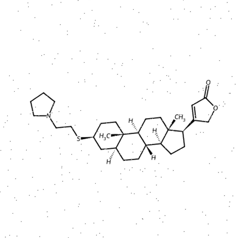 C[C@]12CC[C@H](SCCN3CCCC3)C[C@@H]1CC[C@@H]1[C@@H]2CC[C@]2(C)[C@@H](C3=CC(=O)OC3)CC[C@@H]12